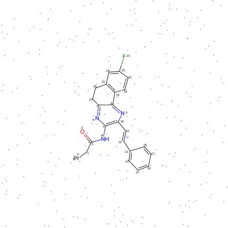 CC(C)CC(=O)Nc1nc2c(nc1/C=C/c1ccccc1)-c1ccc(F)cc1CC2